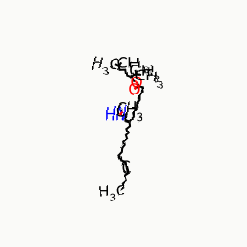 CCCCCC=C=C/C=C\CCCCCCCCCC(CCCC/C=C/C=C\C(=O)OCC(CCCC(C)C)C(C)C)CCNC